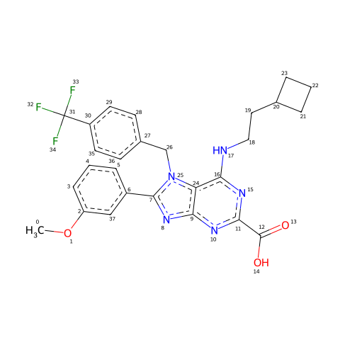 COc1cccc(-c2nc3nc(C(=O)O)nc(NCCC4CCC4)c3n2Cc2ccc(C(F)(F)F)cc2)c1